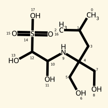 CC(C)CC(CO)(CO)NC(O)C(O)S(=O)(=O)O